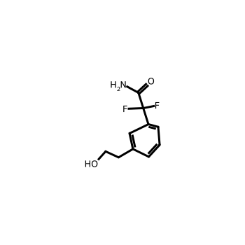 NC(=O)C(F)(F)c1cccc(CCO)c1